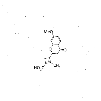 COc1ccc2c(c1)OC(C13CC(C(=O)O)(C1)C3C)CC2=O